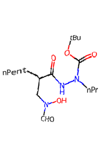 CCCCCC(CN(O)C=O)C(=O)NN(CCC)C(=O)OC(C)(C)C